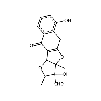 CC1OC2C3=C(Cc4c(O)cccc4C3=O)OC2(C)C1(O)C=O